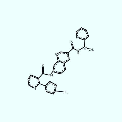 C[C@@H](NC(=O)c1cnc2cc(NC(=O)c3cccnc3-c3ccc(C(F)(F)F)cc3)ccc2c1)c1ccccn1